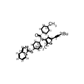 CC(C)(C)C#Cc1cc(N(C(=O)[C@H]2CC[C@H](C)CC2)[C@H]2CC[C@H](Sc3ncc4ccccn34)CC2)c(C(=O)O)s1